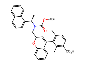 Cc1ccc(C(=O)O)c(C)c1C1=CC(CN(C(=O)OC(C)(C)C)[C@H](C)c2cccc3ccccc23)Oc2ccccc21